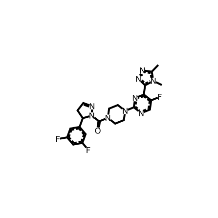 Cc1nnc(-c2nc(N3CCN(C(=O)N4N=CCC4c4cc(F)cc(F)c4)CC3)ncc2F)n1C